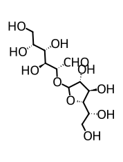 O=C[C@H](OC1O[C@@H]([C@H](O)CO)[C@H](O)[C@H]1O)[C@@H](O)[C@@H](O)[C@H](O)CO